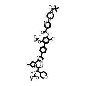 COC(=O)N[C@H](C(=O)N1C[C@@H](C)C=C1c1nc(-c2ccc(-c3cc(Cl)c(NC(=O)c4ccc(N5CCN(C(=O)C(C)(C)C)C[C@H]5C)nc4)cc3OC(F)(F)F)cc2)c[nH]1)C1CCOCC1